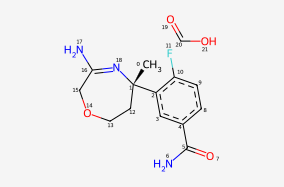 C[C@@]1(c2cc(C(N)=O)ccc2F)CCOCC(N)=N1.O=CO